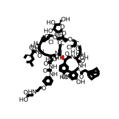 CC[C@H](CC(C)C)C(=O)N[C@H]1C(=O)C[C@@H](CC(=O)NC(=O)Nc2ccc(OCCNCC(=O)O)cc2)C(=O)N[C@H]2C(=O)C[C@H]3C(=O)N[C@H](C(=O)N[C@H](C(=O)CC4C5CC6CC(C5)CC4C6)c4cc(O)cc(O)c4-c4cc3ccc4O)[C@H](O)c3ccc(c(Cl)c3)Oc3cc2cc(c3O[C@@H]2O[C@H](CO)[C@@H](O)[C@H](O)[C@H]2O)Oc2ccc(cc2Cl)[C@H]1O